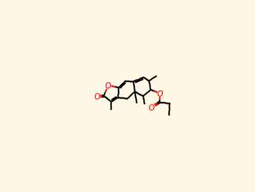 CCC(=O)OC1C(C)C=C2C=C3OC(=O)C(C)=C3CC2(C)C1C